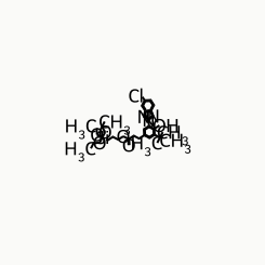 CCO[Si](CCCOC(=O)CCc1cc(-n2nc3ccc(Cl)cc3n2)c(O)c(C(C)(C)C)c1)(OCC)OCC